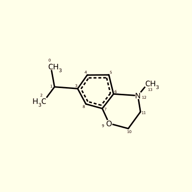 CC(C)c1ccc2c(c1)OCCN2C